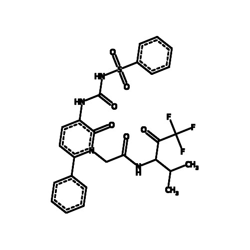 CC(C)C(NC(=O)Cn1c(-c2ccccc2)ccc(NC(=O)NS(=O)(=O)c2ccccc2)c1=O)C(=O)C(F)(F)F